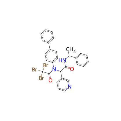 CC(NC(=O)C(c1cccnc1)N(C(=O)C(Br)(Br)Br)c1ccc(-c2ccccc2)cc1)c1ccccc1